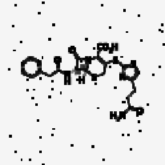 NC(=O)CCc1csc(SC2=C(C(=O)O)N3C(=O)[C@@H](NC(=O)Cc4ccccc4)[C@@H]3SC2)n1